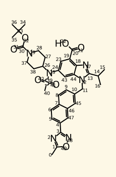 Cc1nc(-c2ccc3ccc(Cn4c(C(C)C)nc5c(C(=O)O)cc(N(C6CCN(C(=O)OC(C)(C)C)CC6)S(C)(=O)=O)cc54)cc3c2)no1